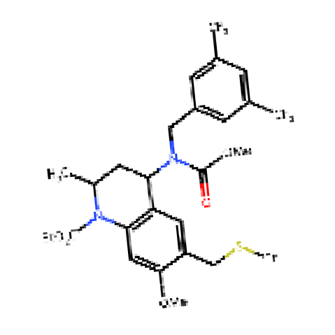 CCOC(=O)N1c2cc(OC)c(CSCC)cc2C(N(Cc2cc(C(F)(F)F)cc(C(F)(F)F)c2)C(=O)OC)CC1C